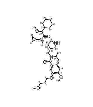 COCCCOc1cc(C(=O)N(C[C@@H]2CNC[C@H]2CN(C(=O)C(OC)C2CCCCC2)C2CC2)C(C)C)ccc1OC